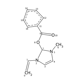 C=CN1C=CN(C)C1OC(=O)c1ccccc1